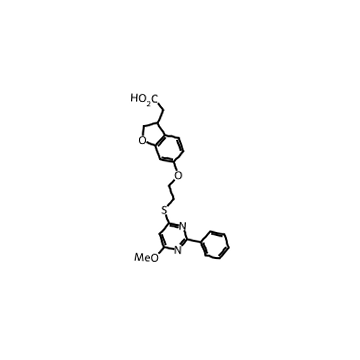 COc1cc(SCCOc2ccc3c(c2)OCC3CC(=O)O)nc(-c2ccccc2)n1